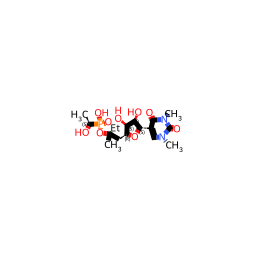 CC[C@](C)(C[C@H]1O[C@@H](c2cn(C)c(=O)n(C)c2=O)[C@H](O)[C@@H]1O)OP(=O)(O)[C@@H](C)O